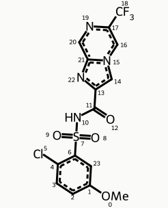 COc1ccc(Cl)c(S(=O)(=O)NC(=O)c2cn3cc(C(F)(F)F)ncc3n2)c1